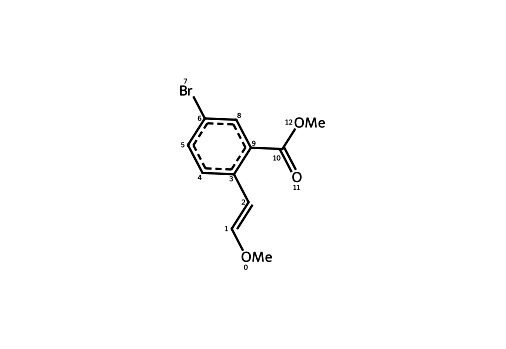 COC=Cc1ccc(Br)cc1C(=O)OC